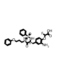 Nc1cc(C[C@H](NS(=O)(=O)c2ccccc2)C(=O)NCCCOc2ccccc2)ccc1OC(F)C(=O)O